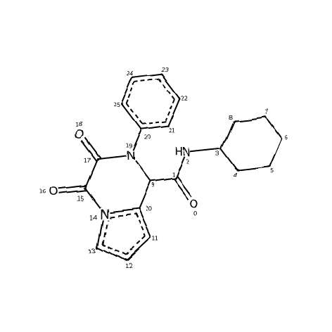 O=C(NC1CCCCC1)C1c2cccn2C(=O)C(=O)N1c1ccccc1